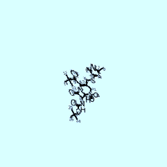 Cc1nnc(SCC2=C(C(=O)C(C)(C)C)N3C(=O)[C@@H](NC(=O)OC(C)(C)C)[C@H]3S(=O)(=O)C2)s1